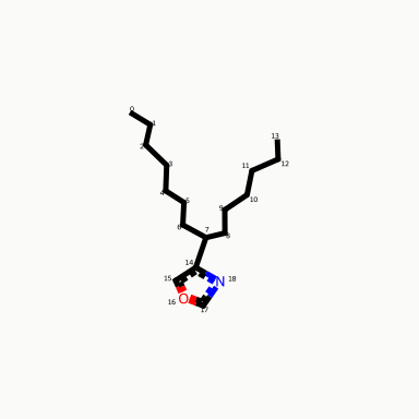 CCCCCCCC(CCCCCC)c1cocn1